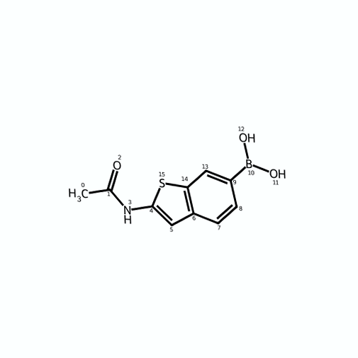 CC(=O)Nc1cc2ccc(B(O)O)cc2s1